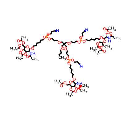 CCCCOCC(COCCCOP(OCCC#N)OCCCCCCO[C@H](OC(COC(C)=O)[C@@H](C)OC(C)=O)[C@H](COC(C)=O)NC(C)=O)(COCCCOP(OCCC#N)OCCCCCCO[C@@H]1OC(COC(C)=O)[C@H](OC(C)=O)C(OC(C)=O)[C@@H]1NC(C)=O)COCCCOP(OCCC#N)OCCCCCCO[C@@H]1OC(COC(C)=O)[C@H](OC(C)=O)C(OC(C)=O)[C@@H]1NC(C)=O